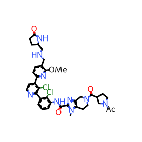 COc1nc(-c2ccnc(-c3cccc(NC(=O)c4nc5c(n4C)CCN(C(=O)C4CCN(C(C)=O)C4)C5)c3Cl)c2Cl)ccc1CNCC1CCC(=O)N1